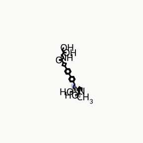 C[C@H](O)c1nccn1[C@@H](/C=C/c1ccc(-c2ccc(C3CC(C(=O)NCC(O)CO)C3)cc2)cc1)CO